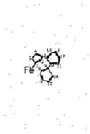 [Fe][C]1=CC=CC1.c1ccc(-c2ccccc2)cc1